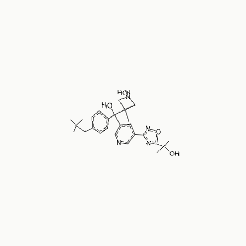 CC(C)(C)Cc1ccc(C(O)(c2cncc(-c3noc(C(C)(C)O)n3)c2)C2(C)CNC2)cc1.Cl